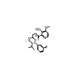 COc1ccnc(C(=S)N[C@@H](C)C(=O)O[C@@H](C)[C@H](Oc2cccc(F)c2)C(C)C)c1O